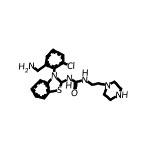 NCc1cccc(Cl)c1N1c2ccccc2SC1NC(=O)NCCN1CCNCC1